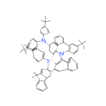 CC(C)(C)c1ccc(N2B3c4cc(N(c5ccc(C(C)(C)C)cc5)c5ccc(C(C)(C)C)cc5)ccc4N(c4ccc(C(C)(C)C)cc4-c4ccccc4)c4c3c(cc3ccccc43)-c3cc4c(cc32)C(C)(C)c2ccccc2-4)cc1